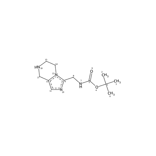 CC(C)(C)OC(=O)NCc1ncc2n1CCNC2